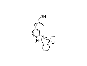 CCS(=O)(=O)c1ccccc1-c1nc2cc(OC(=S)CS)cnc2n1C